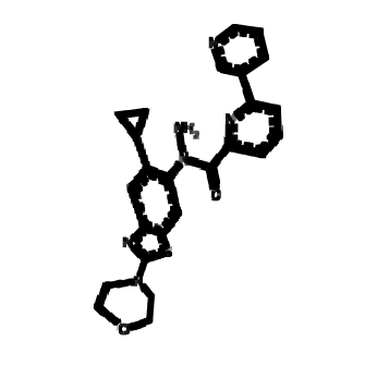 NN(C(=O)c1cccc(-c2cccnc2)n1)c1cc2sc(N3CCOCC3)nc2cc1C1CC1